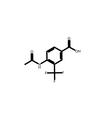 CC(=O)Nc1ccc(C(=O)O)cc1C(F)(F)F